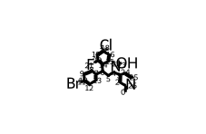 Cc1cc(/C(CC(c2ccc(Br)cc2)c2ccc(Cl)cc2F)=N\O)ccn1